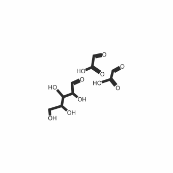 O=CC(=O)O.O=CC(=O)O.O=CC(O)C(O)C(O)CO